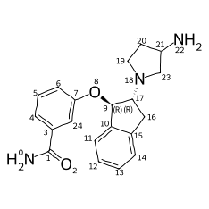 NC(=O)c1cccc(O[C@@H]2c3ccccc3C[C@H]2N2CCC(N)C2)c1